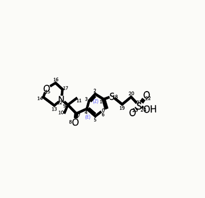 C=C(/C=C\C(=C/C)C(=O)C(C)(C)N1CCOCC1)SCCS(=O)(=O)O